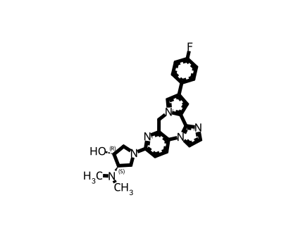 CN(C)[C@H]1CN(c2ccc3c(n2)Cn2cc(-c4ccc(F)cc4)cc2-c2nccn2-3)C[C@H]1O